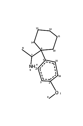 COc1ccc(C2(C(C)N)CCCCC2)cc1